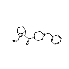 O=CC1C2CCC(O2)C1C(=O)N1CCN(Cc2ccccc2)CC1